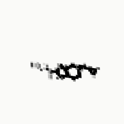 O=C(O)Nc1nc2c(s1)CCN(CC1CO1)C2